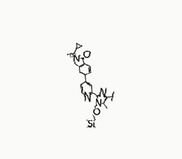 Cc1c(I)nc(-c2cc(-c3ccc4c(c3)CN([C@@H](C)C3CC3)C4=O)ccn2)n1COCC[Si](C)(C)C